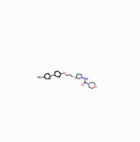 N#Cc1ccc(-c2ccc(OCCC[C@@H]3CCN(NC(=O)N4CCOCC4)C3)cc2)cc1